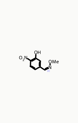 CO/N=C\c1ccc([N+](=O)[O-])c(O)c1